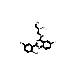 CC(C)C[C@H](N)CNc1nc(-c2cc(Cl)ccc2O)nc2ccc(Cl)cc12